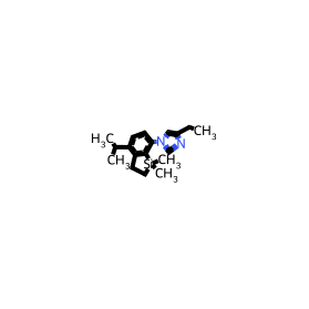 CCc1cn(-c2ccc(C(C)C)c3c2[Si](C)(C)CC3)cn1